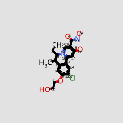 CCC1C(C)c2cc(OCCO)c(Cl)cc2-c2cc(=O)c(C(=O)N=O)cn21